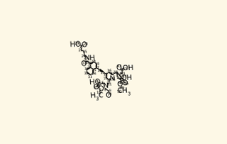 CCOP(=O)(O)CN(CC=O)Cc1cc(C#Cc2ccc(C(=O)NCCCC(=O)O)c3ccccc23)cc(CN(CC(=O)O)CP(=O)(O)OCC)n1